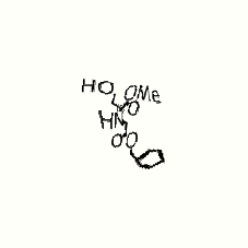 COC(=O)[C@H](CCO)NCC(=O)OCc1ccccc1